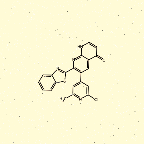 Cc1cc(-c2cc3c(=O)cc[nH]c3nc2-c2nc3ccccc3s2)cc(Cl)n1